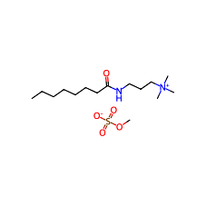 CCCCCCCC(=O)NCCC[N+](C)(C)C.COS(=O)(=O)[O-]